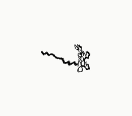 CCCCCCCCCCCCNC(=O)C1CCCN1C(=O)C1CCCN1C(=O)n1ccnc1